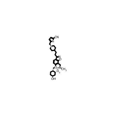 CN(C)Cc1c(OC[C@H]2CC[C@@H](O)CC2)ccc2c(CCC3CCN(Cc4ccc(C#N)s4)CC3)noc12